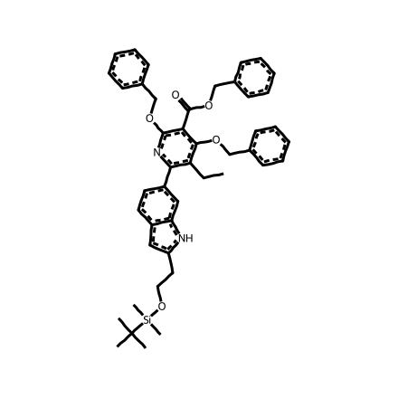 CCc1c(-c2ccc3cc(CCO[Si](C)(C)C(C)(C)C)[nH]c3c2)nc(OCc2ccccc2)c(C(=O)OCc2ccccc2)c1OCc1ccccc1